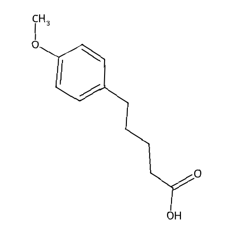 COc1ccc(CCCCC(=O)O)cc1